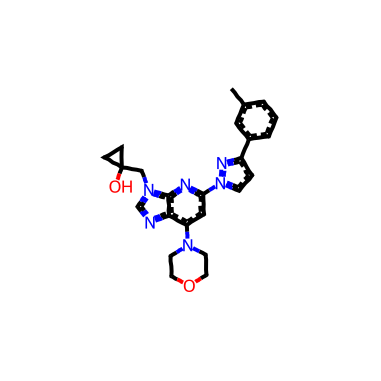 Cc1cccc(-c2ccn(-c3cc(N4CCOCC4)c4ncn(CC5(O)CC5)c4n3)n2)c1